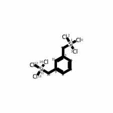 Cl[Si](Cl)(Cl)Cc1cccc(C[Si](Cl)(Cl)Cl)c1